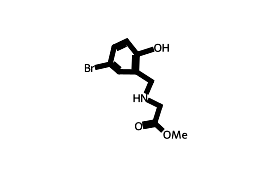 COC(=O)CNCc1cc(Br)ccc1O